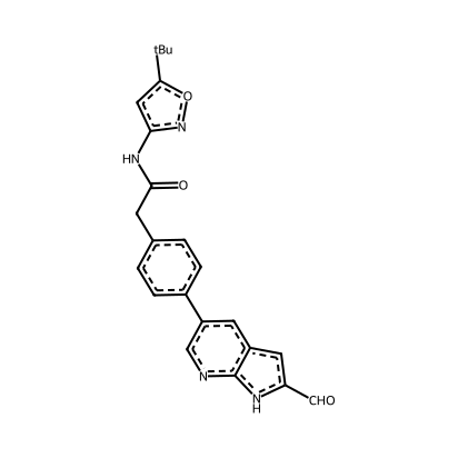 CC(C)(C)c1cc(NC(=O)Cc2ccc(-c3cnc4[nH]c(C=O)cc4c3)cc2)no1